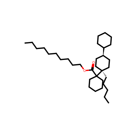 CCCCCCCCCCOC(=O)C1([C@]2(CCCCC)CC[C@H](C3CCCCC3)CC2)CCCCC1